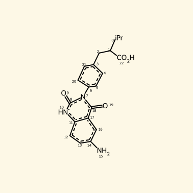 CC(C)C(Cc1ccc(-n2c(=O)[nH]c3ccc(N)cc3c2=O)cc1)C(=O)O